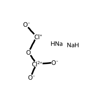 [NaH].[NaH].[O-][Cl+]O[Cl+2]([O-])[O-]